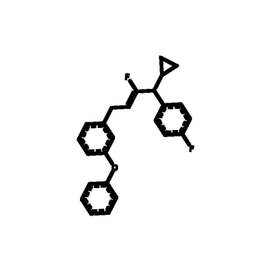 FC(=CCc1cccc(Oc2ccccc2)c1)C(c1ccc(F)cc1)C1CC1